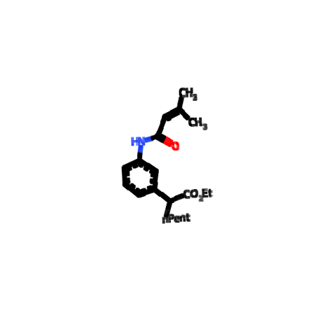 CCCCCC(C(=O)OCC)c1cccc(NC(=O)C=C(C)C)c1